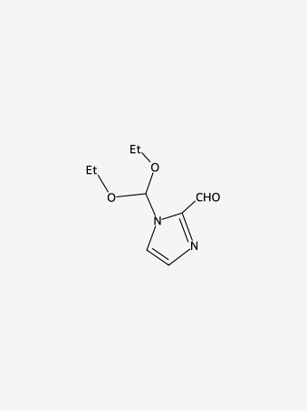 CCOC(OCC)n1ccnc1C=O